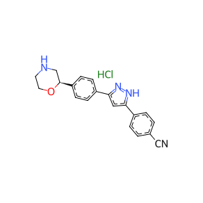 Cl.N#Cc1ccc(-c2cc(-c3ccc([C@@H]4CNCCO4)cc3)n[nH]2)cc1